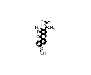 CCOc1nccc2c(C(=O)c3c(F)cc(C(C)NC(=O)O)c(C)c3F)cccc12